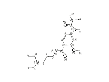 CCN(CC)CCCNC(=O)c1ccc(N(C)C(=O)C(C)C)cc1OC